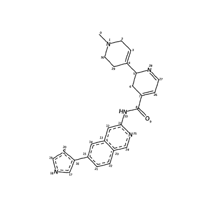 CN1CC=C(C2CC(C(=O)Nc3cc4cc(-c5cncs5)ccc4cn3)=CC=N2)CC1